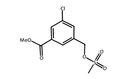 COC(=O)c1cc(Cl)cc(COS(C)(=O)=O)c1